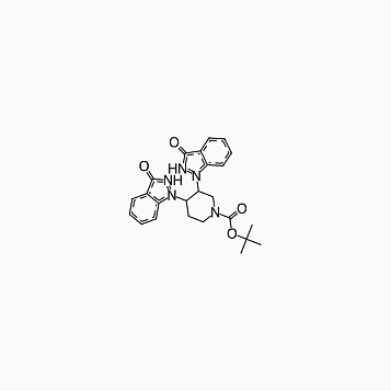 CC(C)(C)OC(=O)N1CCC(n2[nH]c(=O)c3ccccc32)C(n2[nH]c(=O)c3ccccc32)C1